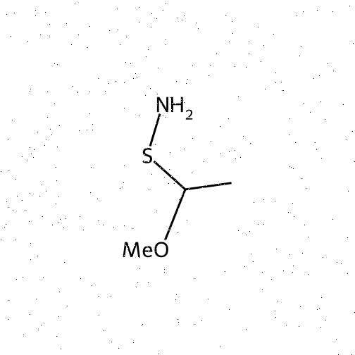 COC(C)SN